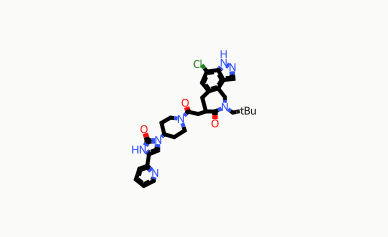 CC(C)(C)CN1Cc2c(cc(Cl)c3[nH]ncc23)CC(CC(=O)N2CCC(n3cc(-c4ccccn4)[nH]c3=O)CC2)C1=O